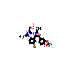 Cc1nc(-c2cc(Br)ccc2-n2cc(CO)nc2C)c(-c2ccc3c(c2)OC(F)(F)O3)o1